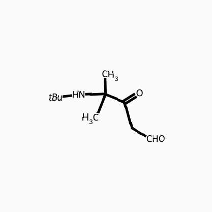 CC(C)(C)NC(C)(C)C(=O)CC=O